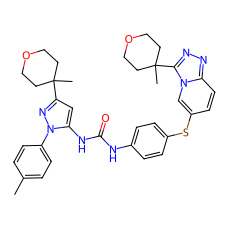 Cc1ccc(-n2nc(C3(C)CCOCC3)cc2NC(=O)Nc2ccc(Sc3ccc4nnc(C5(C)CCOCC5)n4c3)cc2)cc1